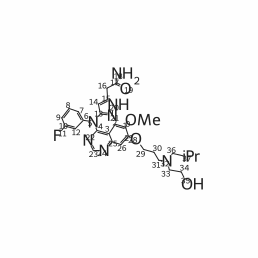 COc1cc2c(N(c3cccc(F)c3)c3cc(CC(N)=O)[nH]n3)ncnc2cc1OCCCN(CCO)CC(C)C